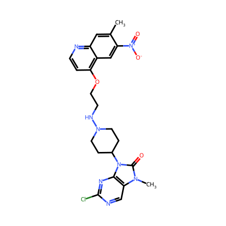 Cc1cc2nccc(OCCNN3CCC(n4c(=O)n(C)c5cnc(Cl)nc54)CC3)c2cc1[N+](=O)[O-]